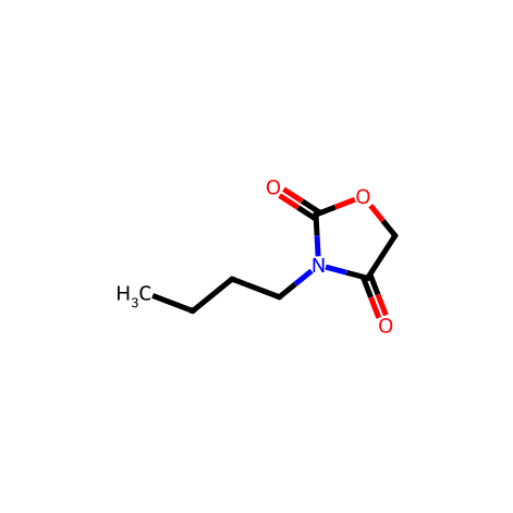 CCCCN1C(=O)COC1=O